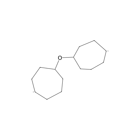 [CH]1CCCC(OC2CC[CH]CCC2)CC1